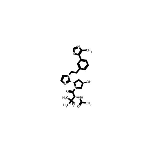 CC(=O)N[C@H](C(=O)N1C[C@H](O)C[C@H]1c1nccn1CCc1cccc(-c2scnc2C)c1)C(C)(C)C